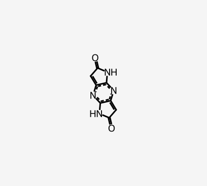 O=C1C=c2nc3c(nc2N1)=CC(=O)N3